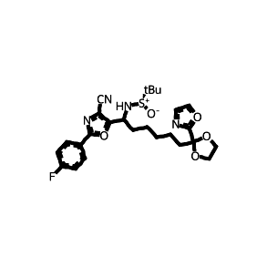 CC(C)(C)[S@@+]([O-])NC(CCCCCC1(c2ncco2)OCCO1)c1oc(-c2ccc(F)cc2)nc1C#N